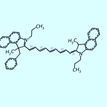 CCCN1/C(=C/C=C/C=C/C=C/C=C/C2=[N+](CCC)c3ccc4ccccc4c3C2(C)Cc2ccccc2)C(C)c2c1ccc1ccccc21